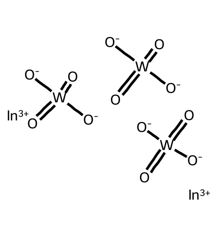 [In+3].[In+3].[O]=[W](=[O])([O-])[O-].[O]=[W](=[O])([O-])[O-].[O]=[W](=[O])([O-])[O-]